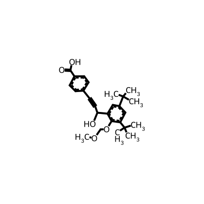 COCOc1c(C(O)C#Cc2ccc(C(=O)O)cc2)cc(C(C)(C)C)cc1C(C)(C)C